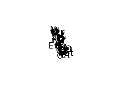 CCN(c1ccc(F)c(-c2ccncc2)c1F)C1OC(=O)C(CC)(CC)C(=O)O1